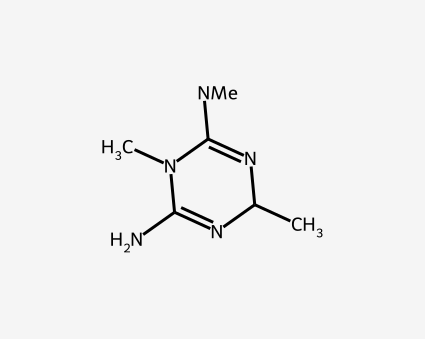 CNC1=NC(C)N=C(N)N1C